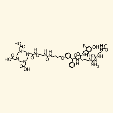 CCC(=O)NCCNC(=O)/N=C(/N)NCCC[C@@H](NC(=O)C(c1ccccc1)c1cccc(OCCCCNC(=O)NCCONC(=O)CN2CCN(CC(=O)O)CCN(CC(=O)O)CCN(CC(=O)O)CC2)c1)C(=O)NCc1c(F)cc(O)cc1F